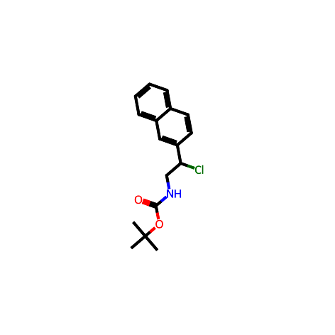 CC(C)(C)OC(=O)NCC(Cl)c1ccc2ccccc2c1